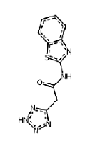 O=C(Cc1nn[nH]n1)Nc1nc2ccccc2s1